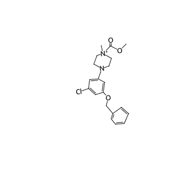 COC(=O)[N+]1(C)CCN(c2cc(Cl)cc(OCc3ccccc3)c2)CC1